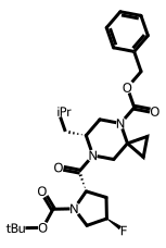 CC(C)C[C@@H]1CN(C(=O)OCc2ccccc2)C2(CC2)CN1C(=O)[C@@H]1C[C@@H](F)CN1C(=O)OC(C)(C)C